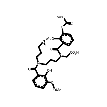 COOc1cccc(C(=O)N(CCCN)CCCN(CC(=O)O)C(=O)c2cccc(OC(=O)OC)c2OC)c1O